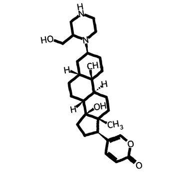 C[C@]12CC[C@H](N3CCNCC3CO)C[C@H]1CC[C@@H]1[C@@H]2CC[C@]2(C)[C@@H](c3ccc(=O)oc3)CC[C@]12O